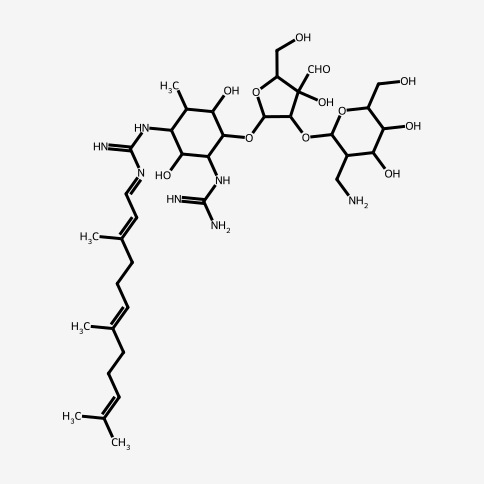 CC(C)=CCC/C(C)=C/CC/C(C)=C/C=NC(=N)NC1C(C)C(O)C(OC2OC(CO)C(O)(C=O)C2OC2OC(CO)C(O)C(O)C2CN)C(NC(=N)N)C1O